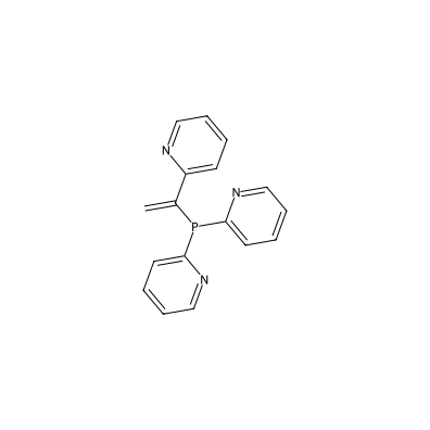 C=C(c1ccccn1)P(c1ccccn1)c1ccccn1